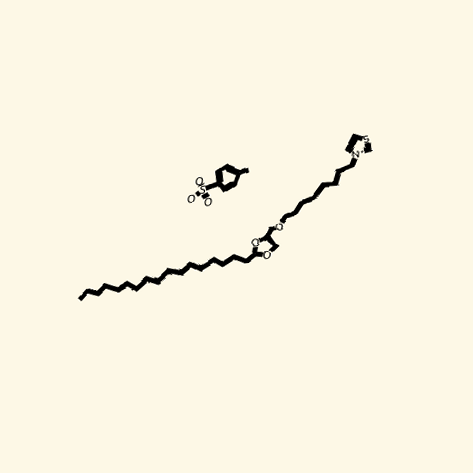 CCCCCCCCCCCCCCCCCC1OCC(COCCCCCCCC[n+]2ccsc2)O1.Cc1ccc(S(=O)(=O)[O-])cc1